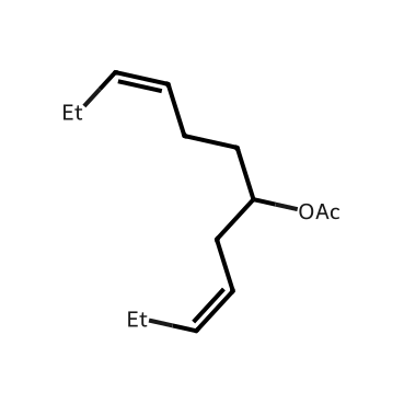 CC/C=C\CCC(C/C=C\CC)OC(C)=O